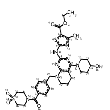 CCOC(=O)c1sc(Nc2nc(N3CCC(O)CC3)c3c(n2)N(Cc2ccc(C(=O)N4CCS(=O)(=O)CC4)cc2)CCC3)nc1C